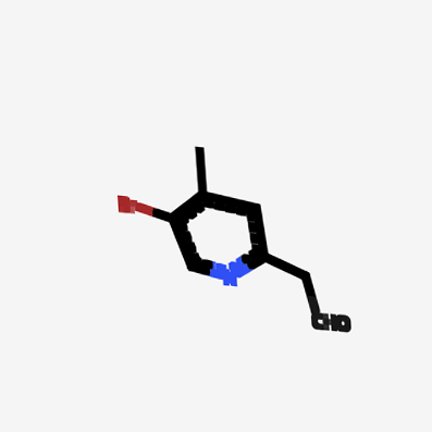 Cc1cc(CC=O)ncc1Br